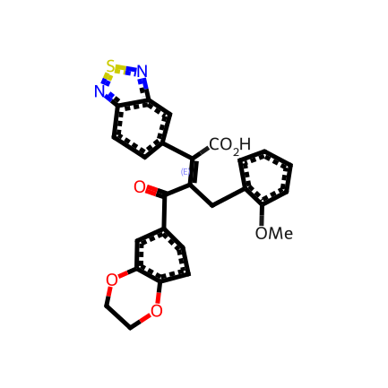 COc1ccccc1C/C(C(=O)c1ccc2c(c1)OCCO2)=C(\C(=O)O)c1ccc2nsnc2c1